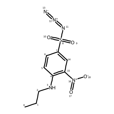 CCCNc1ccc(S(=O)(=O)N=[N+]=[N-])cc1[N+](=O)[O-]